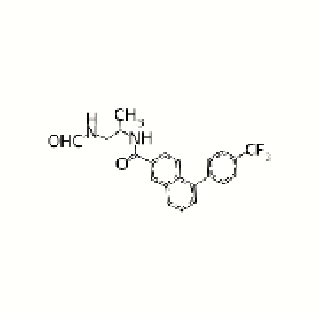 CC(CNC=O)NC(=O)c1ccc2c(-c3ccc(C(F)(F)F)cc3)cccc2c1